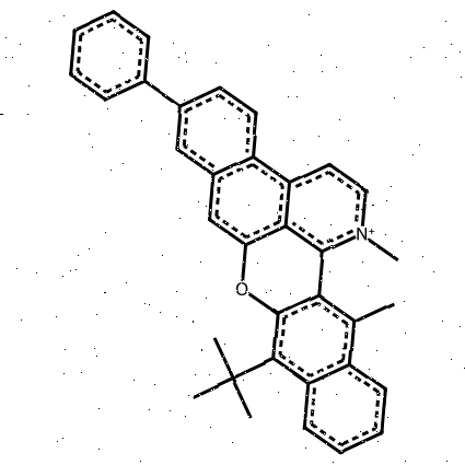 Cc1c2c(c(C(C)(C)C)c3ccccc13)Oc1cc3cc(-c4ccccc4)ccc3c3cc[n+](C)c-2c13